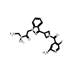 CN(CC(F)(F)F)C(=O)Cn1nc(C2CN(C(=O)c3cc(N)ncc3F)C2)c2ccccc21